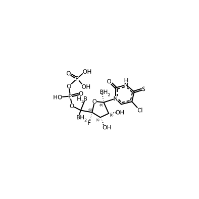 BC(B)(OP(=O)(O)OP(=O)(O)O)[C@@]1(F)O[C@@](B)(n2cc(Cl)c(=S)[nH]c2=O)[C@H](O)[C@@H]1O